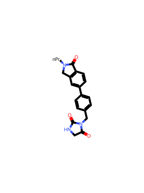 CCCN1Cc2cc(-c3ccc(CN4C(=O)CNC4=O)cc3)ccc2C1=O